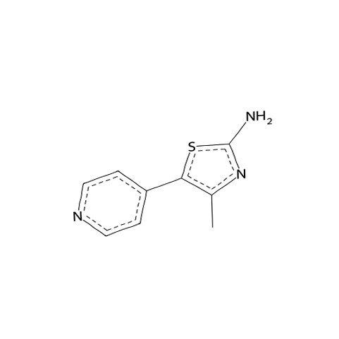 Cc1nc(N)sc1-c1ccncc1